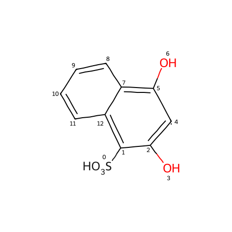 O=S(=O)(O)c1c(O)[c]c(O)c2ccccc12